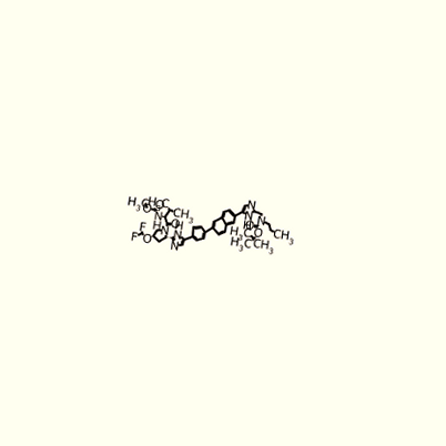 CCCN(Cc1ncc(-c2ccc3cc(-c4ccc(-c5cnc([C@@H]6C[C@H](OC(F)F)CN6C(=O)[C@@H](NC(=O)OC)C(C)C)[nH]5)cc4)ccc3c2)[nH]1)C(=O)OC(C)(C)C